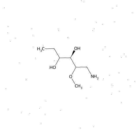 CCC(O)[C@@H](O)C(CN)OC